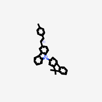 Cc1ccc(/C=C/c2ccc3c(c2)c2ccccc2n3-c2ccc3c(c2)C(C)(C)c2ccccc2-3)cc1